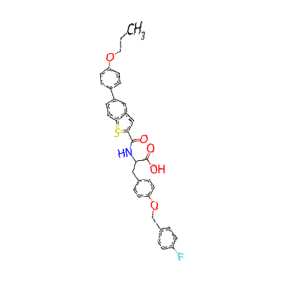 CCCOc1ccc(-c2ccc3sc(C(=O)NC(Cc4ccc(OCc5ccc(F)cc5)cc4)C(=O)O)cc3c2)cc1